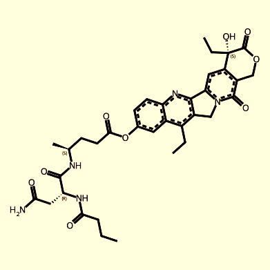 CCCC(=O)N[C@H](CC(N)=O)C(=O)N[C@@H](C)CCC(=O)Oc1ccc2nc3c(c(CC)c2c1)Cn1c-3cc2c(c1=O)COC(=O)[C@]2(O)CC